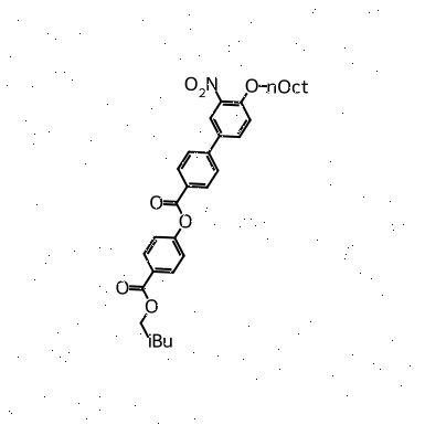 CCCCCCCCOc1ccc(-c2ccc(C(=O)Oc3ccc(C(=O)OCC(C)CC)cc3)cc2)cc1[N+](=O)[O-]